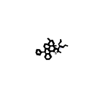 CC/C=C(\CCC)c1c(C)sc2c1C1(C)C=CC(C)c3ccc4c(-c5ccccc5)c5ccccc5c-2c4c31